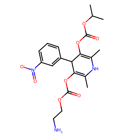 CC1=C(OC(=O)OCCN)C(c2cccc([N+](=O)[O-])c2)C(OC(=O)OC(C)C)=C(C)N1